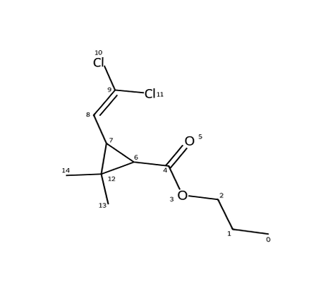 CCCOC(=O)C1C(C=C(Cl)Cl)C1(C)C